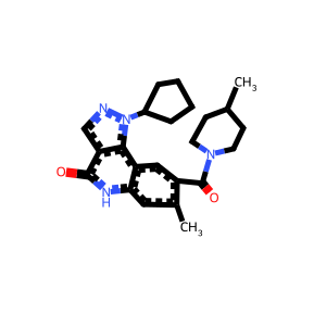 Cc1cc2[nH]c(=O)c3cnn(C4CCCC4)c3c2cc1C(=O)N1CCC(C)CC1